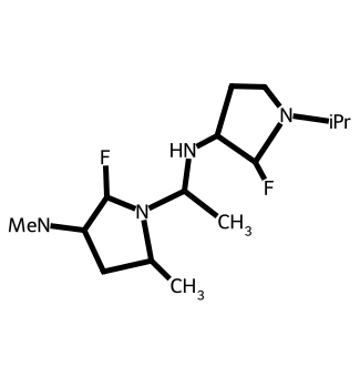 CNC1CC(C)N(C(C)NC2CCN(C(C)C)C2F)C1F